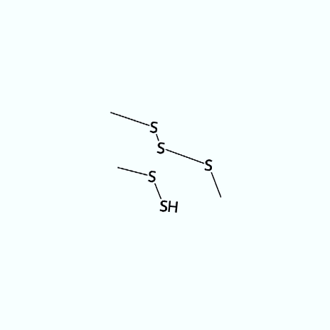 CSS.CSSSC